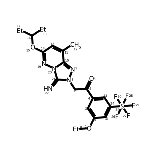 CCOc1cc(C(=O)Cn2nc3c(C)cc(OC(CC)CC)nn3c2=N)cc(S(F)(F)(F)(F)F)c1